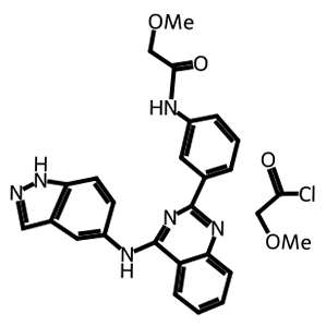 COCC(=O)Cl.COCC(=O)Nc1cccc(-c2nc(Nc3ccc4[nH]ncc4c3)c3ccccc3n2)c1